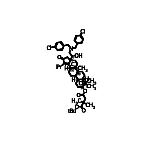 CC(C)C1=C2[C@H]3CC[C@@H]4[C@@]5(C)CC[C@H](OC(=O)CC(C)(C)C(=O)OC(C)(C)C)C(C)(C)[C@H]5CC[C@@]4(C)[C@]3(C)CC[C@@]2([C@@H](O)CN(Cc2ccc(Cl)cc2)Cc2ccc(Cl)cc2)CC1=O